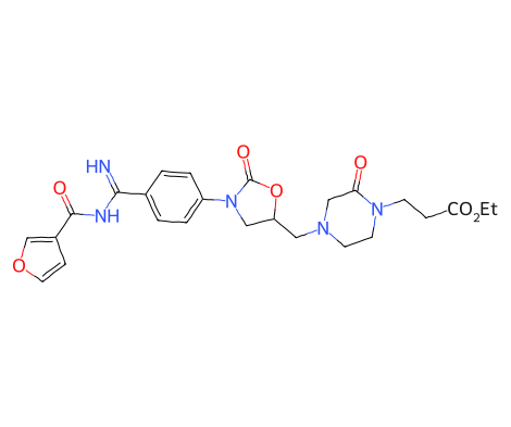 CCOC(=O)CCN1CCN(CC2CN(c3ccc(C(=N)NC(=O)c4ccoc4)cc3)C(=O)O2)CC1=O